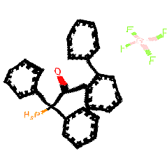 F[B-](F)(F)F.O=C(c1ccccc1-c1ccccc1)C([PH3+])(c1ccccc1)c1ccccc1